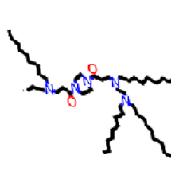 [CH2]CCN(CCCCCCCCC)CCC(=O)N1CCN(C(=O)CCN(CCCCCCCCC)CCN(CCCCCCCCC)CCCCCCCCC)CC1